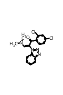 CN(C)C=C(C(=O)c1ccc(Cl)cc1Cl)n1nnc2ccccc21